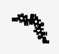 CCn1c(-c2nc3cc(C(=O)N4CCC[C@@H](NC(=O)OC(C)(C)C)C4)ccc3n2C)cc2ccc(C#N)cc21